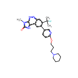 Cn1c(=O)[nH]c2c3cc(-c4ccc(OCCCN5CCCCC5)nc4)c(C(C)(C)F)cc3nnc21